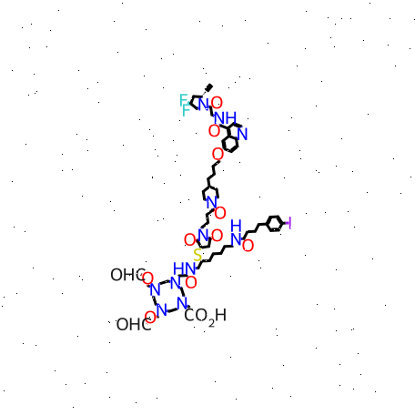 C#C[C@H]1CC(F)(F)CN1C(=O)CNC(=O)c1ccnc2ccc(OCCCCC3CCN(C(=O)CCCN4C(=O)CC(SC(CCCCCNC(=O)CCCc5ccc(I)cc5)CNC(=O)CN5CCN(COC=O)CCN(COC=O)CCN(CC(=O)O)CC5)C4=O)CC3)cc12